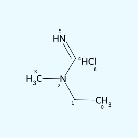 CCN(C)C=N.Cl